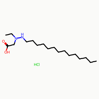 CCCCCCCCCCCCCCNN(CC)CC(=O)O.Cl